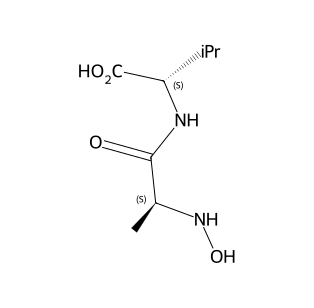 CC(C)[C@H](NC(=O)[C@H](C)NO)C(=O)O